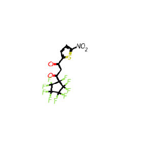 O=C(CC(=O)C1(F)C(F)(F)C(F)(F)C(F)(F)C1(F)F)c1ccc([N+](=O)[O-])s1